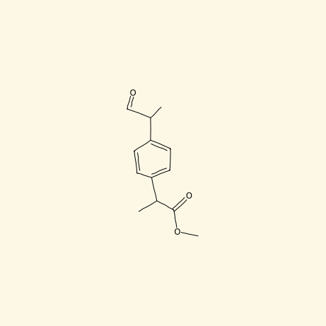 COC(=O)C(C)c1ccc(C(C)C=O)cc1